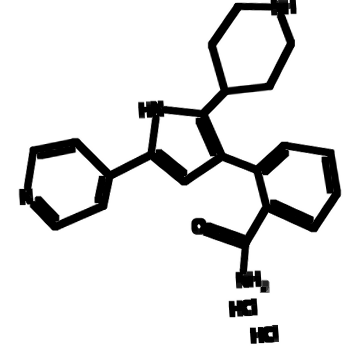 Cl.Cl.NC(=O)c1ccccc1-c1cc(-c2ccncc2)[nH]c1C1CCNCC1